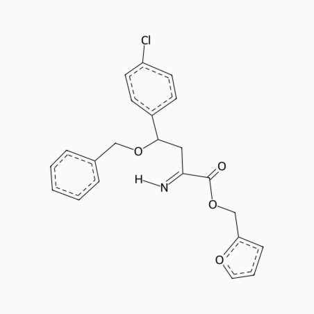 [H]/N=C(\CC(OCc1ccccc1)c1ccc(Cl)cc1)C(=O)OCc1ccco1